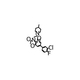 CC1CCN(C(=O)CN2C(=O)COc3cc(-c4ccc(F)c(Cl)c4)cnc32)CC1